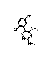 Nc1nnc(-c2cc(Br)ccc2Cl)c(N)n1